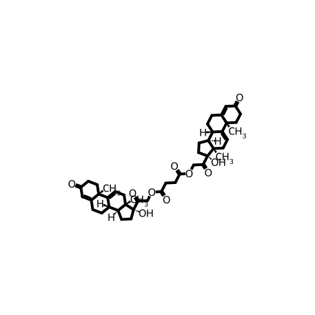 C[C@]12CCC(=O)C=C1CC[C@@H]1C2=CC[C@@]2(C)[C@H]1CC[C@]2(O)C(=O)COC(=O)CCC(=O)OCC(=O)[C@@]1(O)CC[C@H]2[C@@H]3CCC4=CC(=O)CC[C@]4(C)C3=CC[C@@]21C